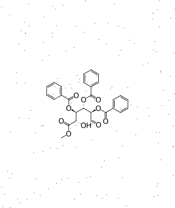 COC(=O)[C@@H](O)[C@@H](OC(=O)c1ccccc1)[C@H](OC(=O)c1ccccc1)[C@H](C=O)OC(=O)c1ccccc1